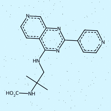 CC(C)(CNc1nc(-c2ccncc2)nc2cnccc12)NC(=O)O